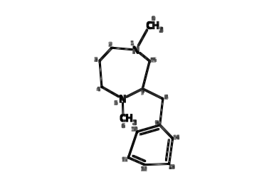 CN1CCCN(C)C(Cc2ccccc2)C1